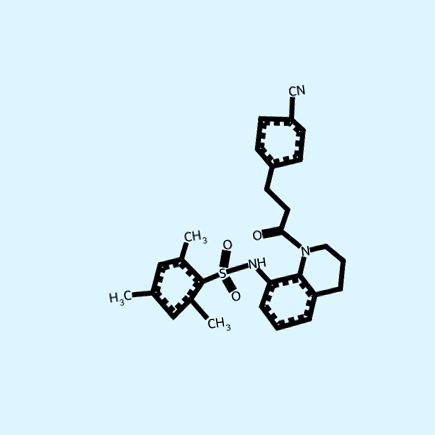 Cc1cc(C)c(S(=O)(=O)Nc2cccc3c2N(C(=O)CCc2ccc(C#N)cc2)CCC3)c(C)c1